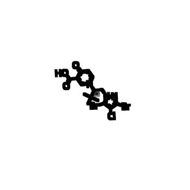 CC(C)(C)[C@H](Cn1nc(Br)c(Cl)c1Br)n1ccc(=O)c(C(=O)O)c1